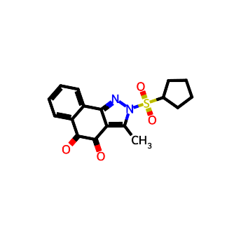 Cc1c2c(nn1S(=O)(=O)C1CCCC1)-c1ccccc1C(=O)C2=O